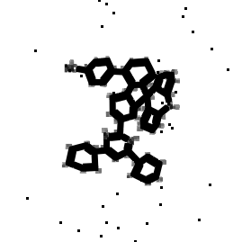 N#Cc1ccc(-c2cccc3c2-c2ccc(-c4nc(-c5ccccc5)cc(-c5ccccc5)n4)cc2C32c3ccccc3Sc3ccccc32)cc1